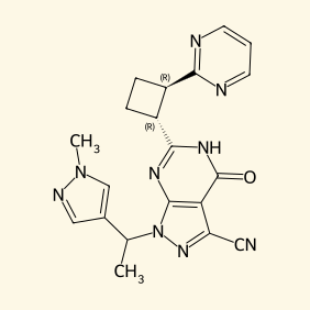 CC(c1cnn(C)c1)n1nc(C#N)c2c(=O)[nH]c([C@@H]3CC[C@H]3c3ncccn3)nc21